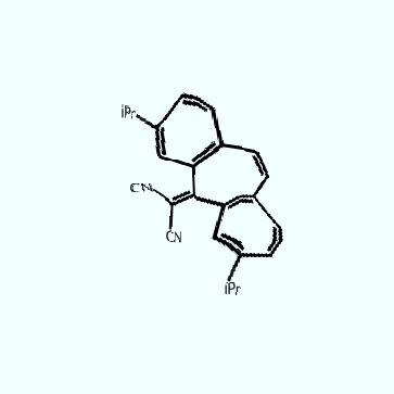 [C-]#[N+]C(C#N)=C1c2cc(C(C)C)ccc2C=Cc2ccc(C(C)C)cc21